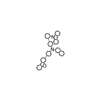 c1ccc(-n2c3ccccc3c3ccccc32)c(-c2ccc(N(c3ccc(-c4ccc5c(c4)oc4ccccc45)cc3)c3ccc4ccccc4c3)cc2)c1